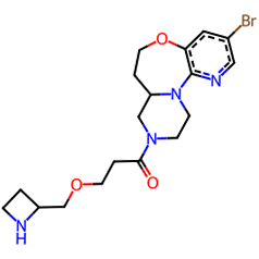 O=C(CCOCC1CCN1)N1CCN2c3ncc(Br)cc3OCCC2C1